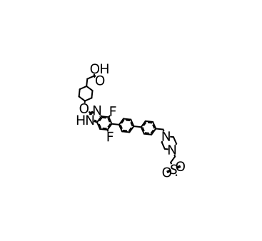 CS(=O)(=O)CCN1CCN(Cc2ccc(-c3ccc(-c4c(F)cc5[nH]c(OC6CCC(CC(=O)O)CC6)nc5c4F)cc3)cc2)CC1